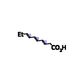 CC/C=C/C=C/C=C/CC(=O)O